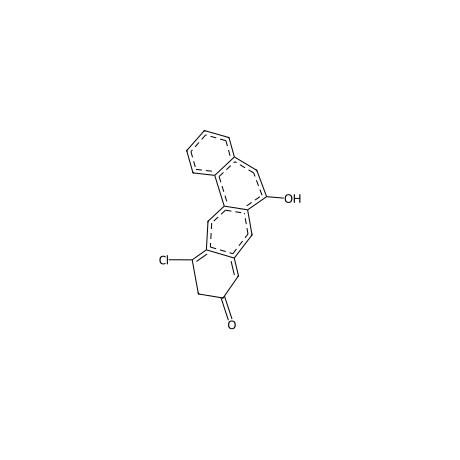 O=C1C=c2cc3c(O)cc4ccccc4c3cc2=C(Cl)C1